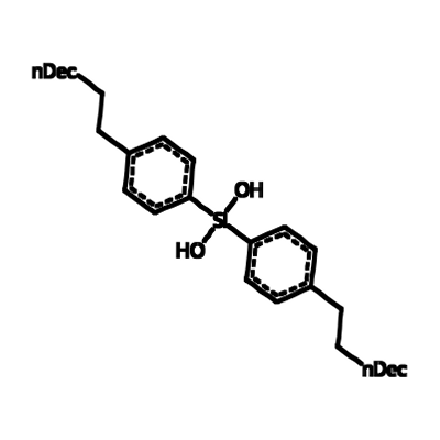 CCCCCCCCCCCCc1ccc([Si](O)(O)c2ccc(CCCCCCCCCCCC)cc2)cc1